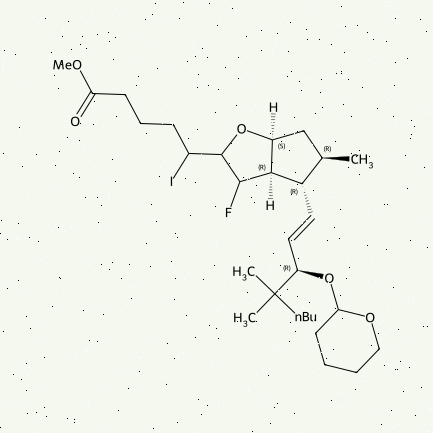 CCCCC(C)(C)[C@@H](C=C[C@@H]1[C@H]2C(F)C(C(I)CCCC(=O)OC)O[C@H]2C[C@H]1C)OC1CCCCO1